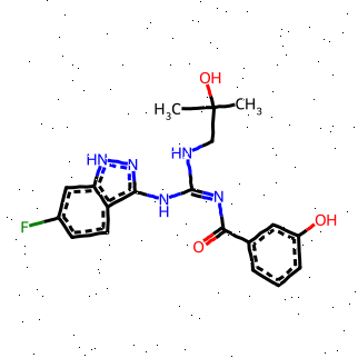 CC(C)(O)CN/C(=N/C(=O)c1cccc(O)c1)Nc1n[nH]c2cc(F)ccc12